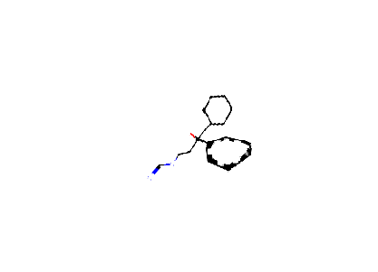 N=CNCCC(O)(c1ccccc1)C1CCCCC1